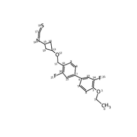 CCOc1ccc(-c2ccc(COC3CC(N=C=S)C3)c(F)c2)cc1F